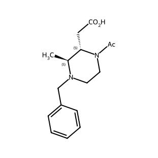 CC(=O)N1CCN(Cc2ccccc2)[C@@H](C)[C@@H]1CC(=O)O